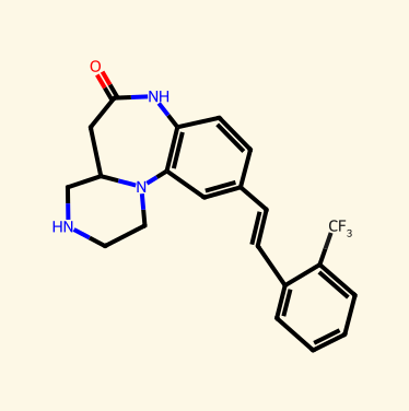 O=C1CC2CNCCN2c2cc(C=Cc3ccccc3C(F)(F)F)ccc2N1